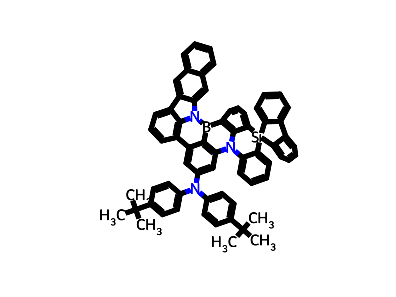 CC(C)(C)c1ccc(N(c2ccc(C(C)(C)C)cc2)c2cc3c4c(c2)N2c5ccccc5[Si]5(c6ccccc6-c6ccccc65)c5cccc(c52)B4n2c4cc5ccccc5cc4c4cccc-3c42)cc1